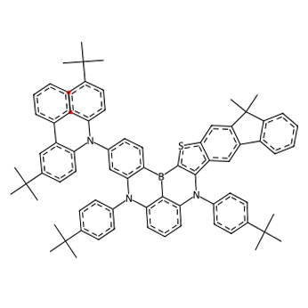 CC(C)(C)c1ccc(N(c2ccc3c(c2)N(c2ccc(C(C)(C)C)cc2)c2cccc4c2B3c2sc3cc5c(cc3c2N4c2ccc(C(C)(C)C)cc2)-c2ccccc2C5(C)C)c2ccc(C(C)(C)C)cc2-c2ccccc2)cc1